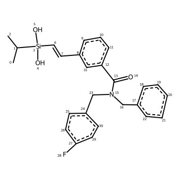 CC(C)[Si](O)(O)C=Cc1cccc(C(=O)N(Cc2ccccc2)Cc2ccc(F)cc2)c1